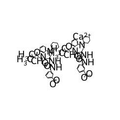 CC(C)(C)C(=O)CN1C(=O)C(NC(=O)Nc2cccc(C(=O)[O-])c2)CN(C2CCCCC2)c2ccccc21.CC(C)(C)C(=O)CN1C(=O)[C@H](NC(=O)Nc2cccc(C(=O)[O-])c2)CN(C2CCCCC2)c2ccccc21.[Ca+2]